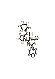 O=c1cc(N2CCOCC2)nc(N2CCCC2Cc2ccccc2)[nH]1